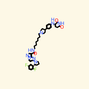 O=C1CC[C@@H](Nc2ccc(C3CCN(CCCCCCCCNC(=O)c4cnn5ccc(N6CCC[C@@H]6c6cc(F)ccc6F)nc45)CC3)cc2)C(=O)N1